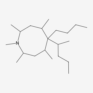 CCCCC1(C(C)CCC)C(C)CC(C)N(C)C(C)CC1C